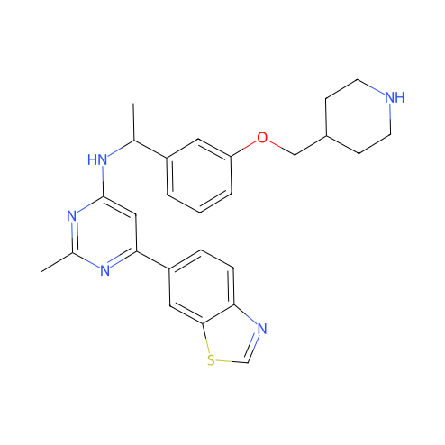 Cc1nc(NC(C)c2cccc(OCC3CCNCC3)c2)cc(-c2ccc3ncsc3c2)n1